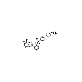 CC[C@H]1CC[C@H](c2ccc(C(F)(F)Oc3ccccc3-c3ccc(C(F)(F)F)c(F)c3)cc2)CC1